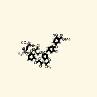 CC1COc2ccccc2N1C(=O)C(Cl)Cl.CCc1cccc(CC)c1N(COC)C(=O)CCl.COC(=O)c1cc(Oc2ccc(Cl)cc2Cl)ccc1[N+](=O)[O-].CP(=O)(O)CCC(N)C(=O)O